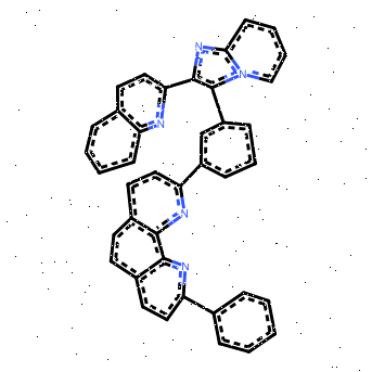 c1ccc(-c2ccc3ccc4ccc(-c5cccc(-c6c(-c7ccc8ccccc8n7)nc7ccccn67)c5)nc4c3n2)cc1